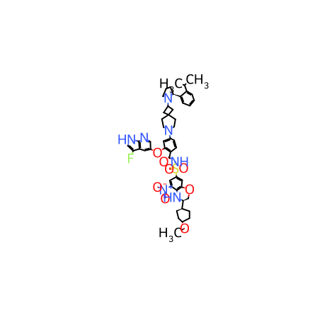 CO[C@H]1CC[C@@H]([C@@H]2COc3cc(S(=O)(=O)NC(=O)c4ccc(N5CCC6(CC5)CC(N5CCC[C@H]5c5ccccc5C(C)C)C6)cc4Oc4cnc5[nH]cc(F)c5c4)cc([N+](=O)[O-])c3N2)CC1